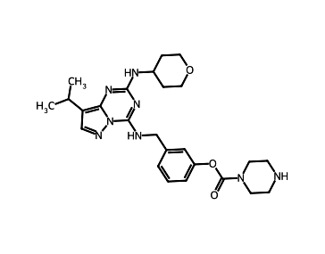 CC(C)c1cnn2c(NCc3cccc(OC(=O)N4CCNCC4)c3)nc(NC3CCOCC3)nc12